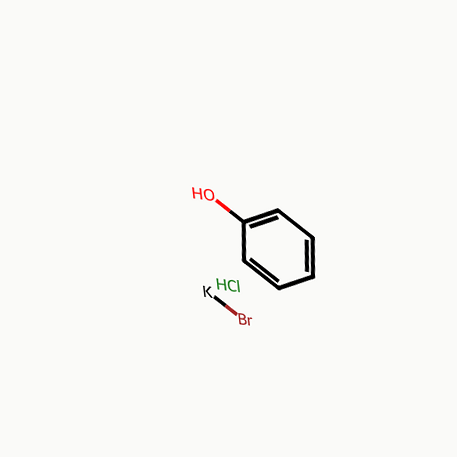 Cl.Oc1ccccc1.[K][Br]